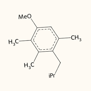 COc1cc(C)c(CC(C)C)c(C)c1C